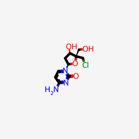 Nc1ccn([C@H]2C[C@@H](O)[C@](CO)(CCl)O2)c(=O)n1